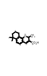 CC1(C)CCCc2c1ccc1c2OC(C(F)(F)F)C(C(=O)O)=C1